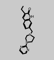 CCc1cc2ccc(CN3CCN(c4ncccn4)CC3)cc2[nH]c1=O